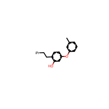 Cc1cccc(Oc2ccc(CCC(C)C)c(O)c2)c1